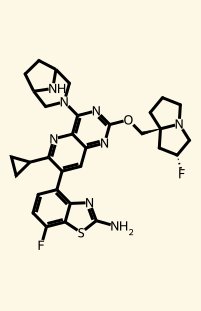 Nc1nc2c(-c3cc4nc(OC[C@@]56CCCN5C[C@H](F)C6)nc(N5CC6CCC(C5)N6)c4nc3C3CC3)ccc(F)c2s1